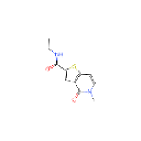 CCNC(=O)c1cc2c(=O)n(C)ccc2s1